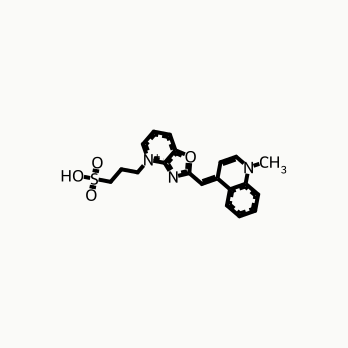 CN1C=C/C(=C\c2nc3c(ccc[n+]3CCCS(=O)(=O)O)o2)c2ccccc21